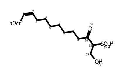 CCCCCCCC/C=C\CCCCCCCC(=O)C(CO)S(=O)(=O)O